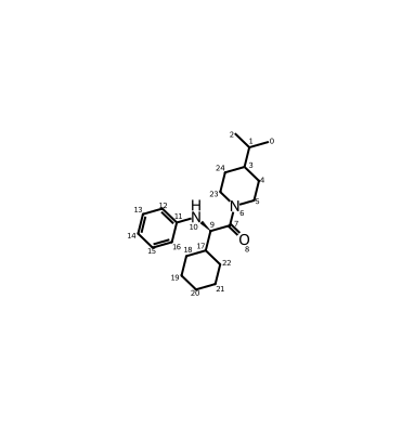 CC(C)C1CCN(C(=O)[C@H](Nc2ccccc2)C2CCCCC2)CC1